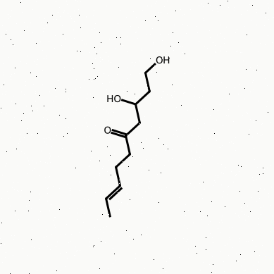 CC=CCCC(=O)CC(O)CCO